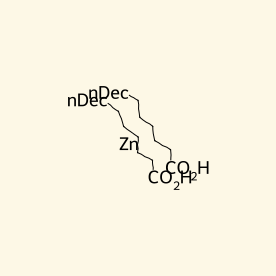 CCCCCCCCCCCCCCCC(=O)O.CCCCCCCCCCCCCCCC(=O)O.[Zn]